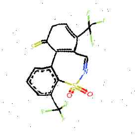 O=S1(=O)N=CC2=C(C(=S)CC=C2C(F)(F)F)c2cccc(C(F)(F)F)c21